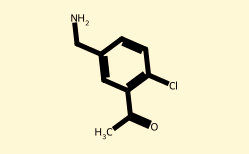 CC(=O)c1cc(CN)ccc1Cl